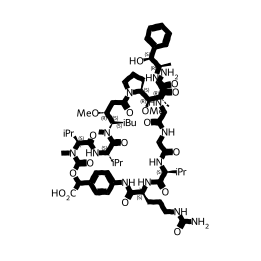 CC[C@H](C)[C@@H]([C@@H](CC(=O)N1CCC[C@H]1[C@H](OC)[C@@H](C)C(=O)N[C@H](C)[C@@H](O)c1ccccc1)OC)N(C)C(=O)[C@@H](NC(=O)[C@H](C(C)C)N(C)C(=O)OC(C(=O)O)c1ccc(NC(=O)[C@H](CCCNC(N)=O)NC(=O)[C@@H](NC(=O)CNC(=O)CNC(=O)CN)C(C)C)cc1)C(C)C